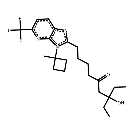 CCC(O)(CC)CC(=O)CCCCc1nc2ccc(C(F)(F)F)nc2n1C1(C)CCC1